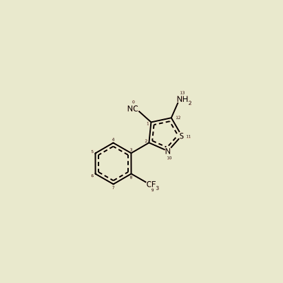 N#Cc1c(-c2ccccc2C(F)(F)F)nsc1N